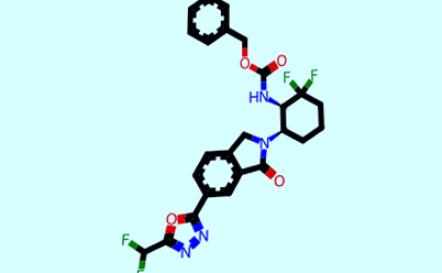 O=C(N[C@@H]1[C@H](N2Cc3ccc(-c4nnc(C(F)F)o4)cc3C2=O)CCCC1(F)F)OCc1ccccc1